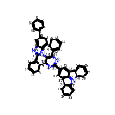 c1ccc(-c2ccc3c(c2)nc2c4ccccc4c4nc(-c5cc6c7ccccc7n7c8ccccc8c(c5)c67)nc(-c5ccccc5)c4n32)cc1